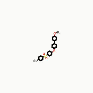 CCC(C)Oc1ccc(-c2ccc(Oc3ccc(S(=O)(=O)c4ccc(C(C)(C)C)cc4)cc3)cc2)cc1